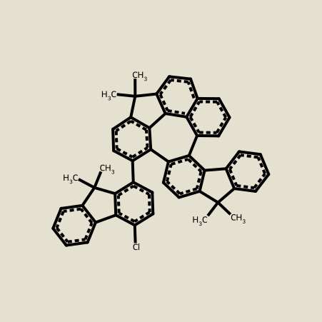 CC1(C)c2ccccc2-c2c1ccc1c2-c2cccc3ccc4c(c23)-c2c(ccc(-c3ccc(Cl)c5c3C(C)(C)c3ccccc3-5)c2-1)C4(C)C